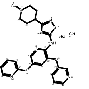 CC(=O)N1CCC(c2nsc(Nc3ncc(Sc4ccccn4)cc3Oc3cccnc3)n2)CC1.Cl.Cl